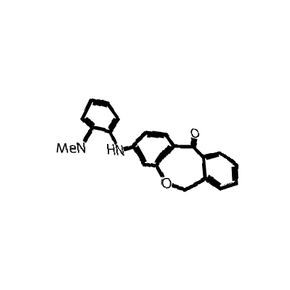 CNc1ccccc1Nc1ccc2c(c1)OCc1ccccc1C2=O